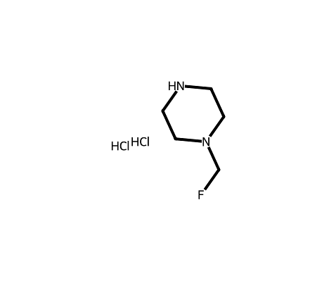 Cl.Cl.FCN1CCNCC1